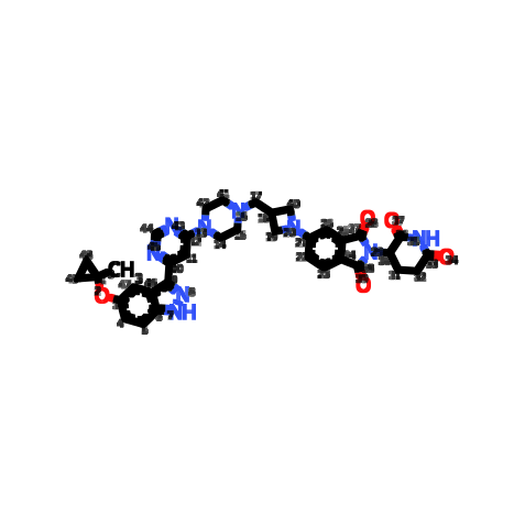 CC1(Oc2ccc3[nH]nc(-c4cc(N5CCN(CC6CN(c7ccc8c(c7)C(=O)N(C7CCC(=O)NC7=O)C8=O)C6)CC5)ncn4)c3c2)CC1